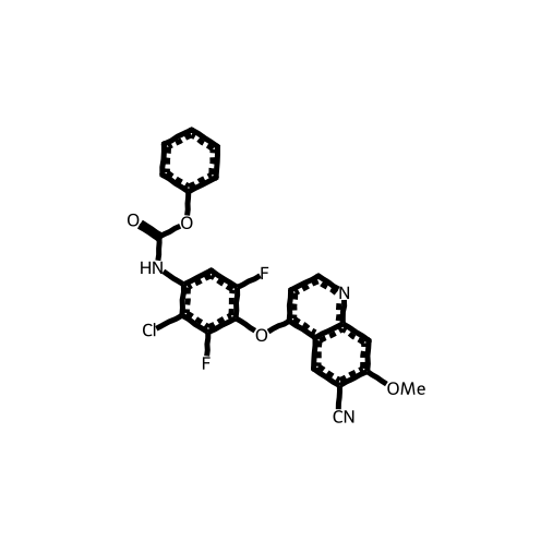 COc1cc2nccc(Oc3c(F)cc(NC(=O)Oc4ccccc4)c(Cl)c3F)c2cc1C#N